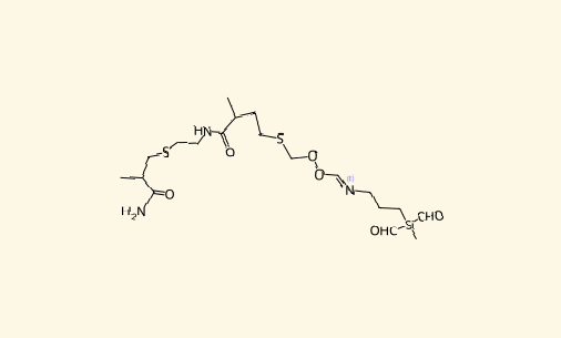 CC(CSCCNC(=O)C(C)CCSCOO/C=N/CCC[Si](C)(C=O)C=O)C(N)=O